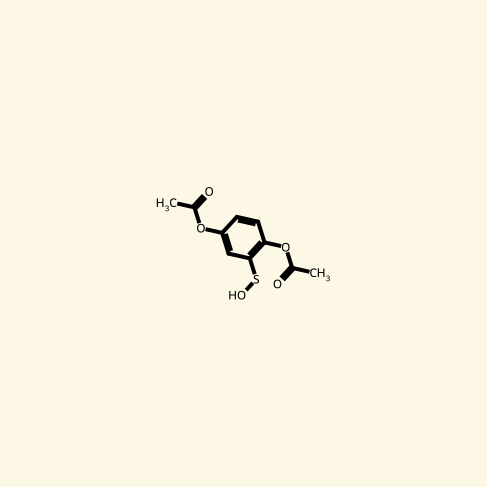 CC(=O)Oc1ccc(OC(C)=O)c(SO)c1